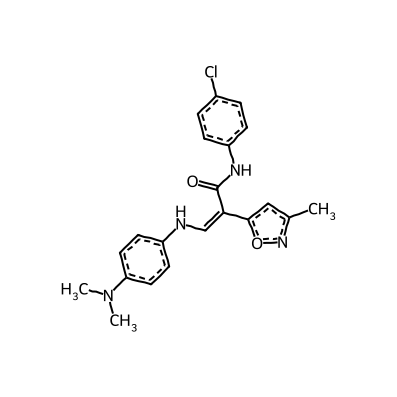 Cc1cc(C(=CNc2ccc(N(C)C)cc2)C(=O)Nc2ccc(Cl)cc2)on1